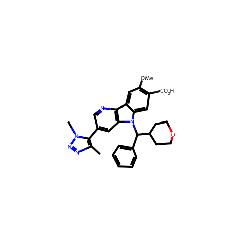 COc1cc2c3ncc(-c4c(C)nnn4C)cc3n(C(c3ccccc3)C3CCOCC3)c2cc1C(=O)O